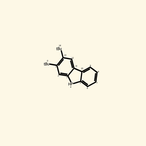 CC(C)(C)c1cc2[pH]c3ccccc3c2cc1C(C)(C)C